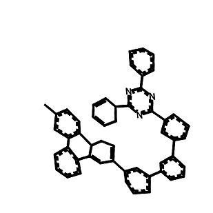 Cc1ccc2c(c1)-c1ccccc1C1=CC(c3cccc(-c4cccc(-c5cccc(-c6nc(-c7ccccc7)nc(C7C=CC=CC7)n6)c5)c4)c3)=CCC12